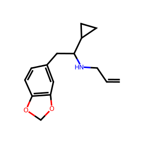 C=CCNC(Cc1ccc2c(c1)OCO2)C1CC1